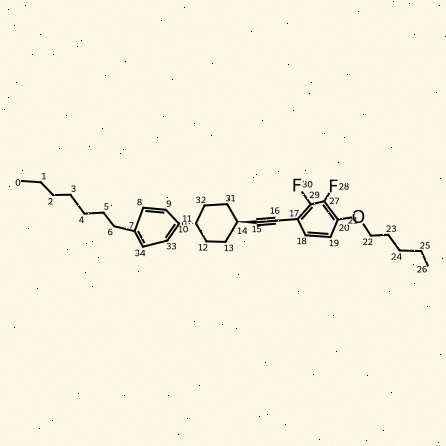 CCCCCCCc1ccc([C@H]2CC[C@H](C#Cc3ccc(OCCCCC)c(F)c3F)CC2)cc1